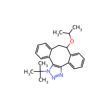 CC(C)OC1Cc2ccccc2-c2c(nnn2C(C)(C)C)-c2ccccc21